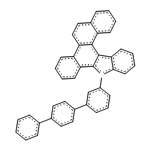 c1ccc(-c2ccc(-c3cccc(-n4c5ccccc5c5c6c7ccccc7ccc6c6ccccc6c54)c3)cc2)cc1